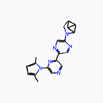 Cc1ccc(C)n1-c1cncc(-c2cnc(N3CC4C5C4C53)cn2)n1